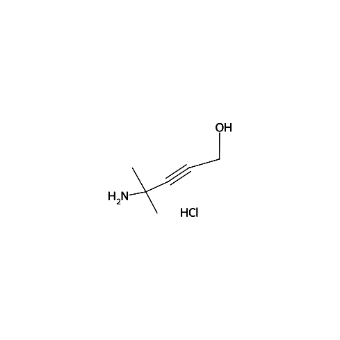 CC(C)(N)C#CCO.Cl